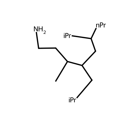 CCCC(CC(CC(C)C)C(C)CCN)C(C)C